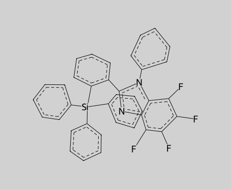 Fc1c(F)c(F)c2c(nc(-c3ccccc3[Si](c3ccccc3)(c3ccccc3)c3ccccc3)n2-c2ccccc2)c1F